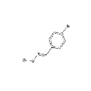 ClON=Cc1ccc(Br)cc1